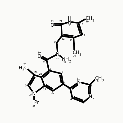 Cc1nccc(-c2cc(C(=O)N(N)Cc3c(C)cc(C)[nH]c3=O)c3c(C)cn(C(C)C)c3c2)n1